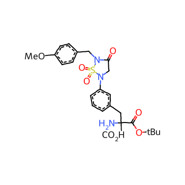 COc1ccc(CN2C(=O)CN(c3cccc(CC(N)(C(=O)O)C(=O)OC(C)(C)C)c3)S2(=O)=O)cc1